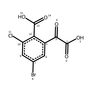 O=C(O)C(=O)c1cc(Br)cc(Cl)c1C(=O)O